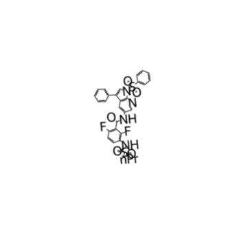 CCCS(=O)(=O)Nc1ccc(F)c(C(=O)Nc2cnc3c(c2)c(-c2ccccc2)cn3S(=O)(=O)c2ccccc2)c1F